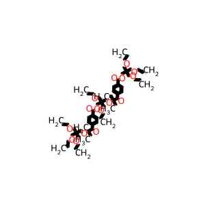 C=CCOCC(COCC=C)(COCC=C)COC(=O)c1ccc(C(=O)C(CC)(CC)OCC(COCC=C)(COCC=C)COC(=O)c2ccc(C(=O)C(C)(CC)OCC(COCC=C)(COCC=C)COCC=C)cc2)cc1